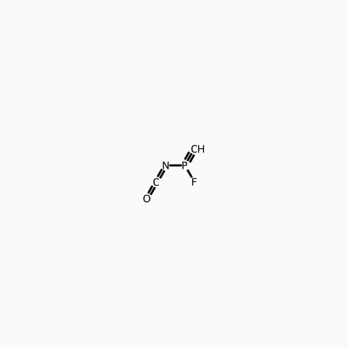 C#P(F)N=C=O